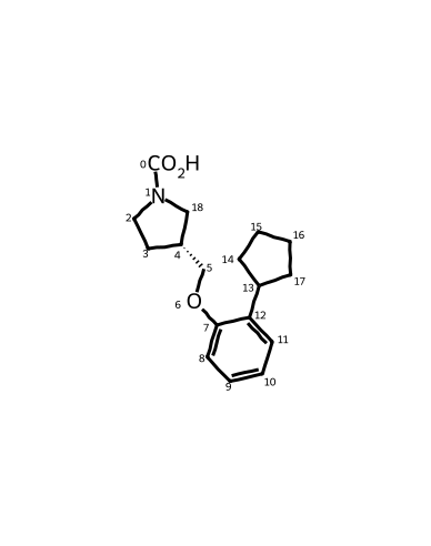 O=C(O)N1CC[C@@H](COc2ccccc2C2CCCC2)C1